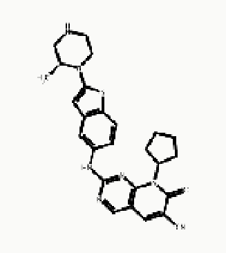 C[C@H]1CNCCN1c1cc2cc(Nc3ncc4cc(C#N)c(=O)n(C5CCCC5)c4n3)ccc2s1